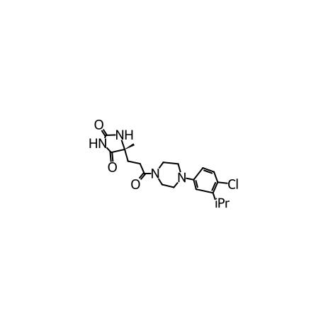 CC(C)c1cc(N2CCN(C(=O)CC[C@@]3(C)NC(=O)NC3=O)CC2)ccc1Cl